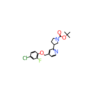 CC(C)(C)OC(=O)N1CCC(c2cc(COc3ccc(Cl)cc3F)ccn2)C1